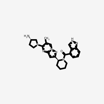 Cc1cn2nc([C@@H]3CCCCN3C(=O)c3cccc4n[nH]cc34)cc2nc1N1CC[C@H](N)C1